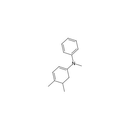 CC1=CC=C(N(C)c2ccccc2)CC1C